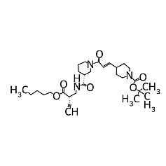 C#C[C@@H](CNC(=O)[C@@H]1CCCN(C(=O)/C=C/C2CCN(C(=O)OC(C)(C)C)CC2)C1)C(=O)OCCCCC